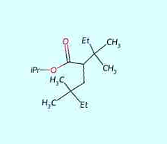 CCC(C)(C)CC(C(=O)OC(C)C)C(C)(C)CC